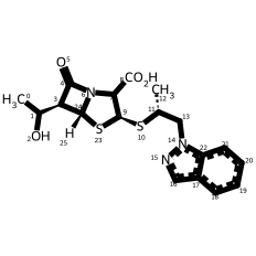 CC(O)[C@H]1C(=O)N2C(C(=O)O)[C@@H](S[C@H](C)Cn3ncc4ccccc43)S[C@H]12